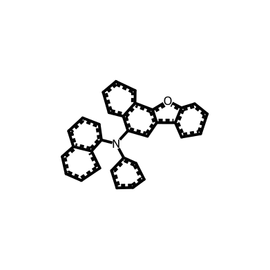 c1ccc(N(c2cccc3ccccc23)c2cc3c4ccccc4oc3c3ccccc23)cc1